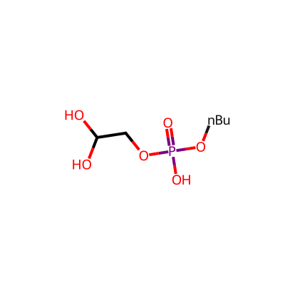 CCCCOP(=O)(O)OCC(O)O